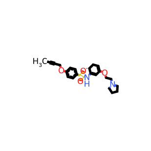 CC#CCOc1ccc(S(=O)(=O)NC2=CC(OCCN3CCCC3)=CC[CH]2)cc1